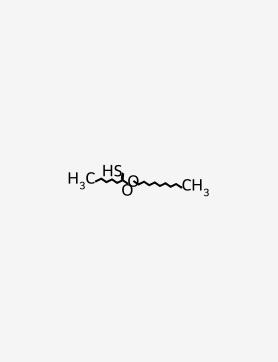 CCCCCCCCCCOC(=O)C(=CS)CCCCCC